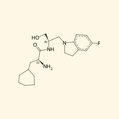 N[C@@H](CC1CCCCC1)C(=O)N[C@@H](CO)CN1CCc2cc(F)ccc21